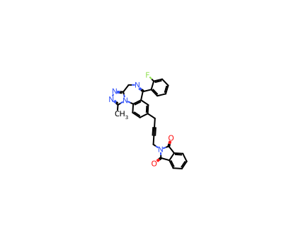 Cc1nnc2n1-c1ccc(CC#CCN3C(=O)c4ccccc4C3=O)cc1C(c1ccccc1F)=NC2